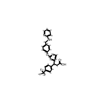 O=C(O)CC(c1ccc(C(F)(F)F)cc1)c1ccnc(Oc2ccc(CNc3ccccn3)cc2)n1